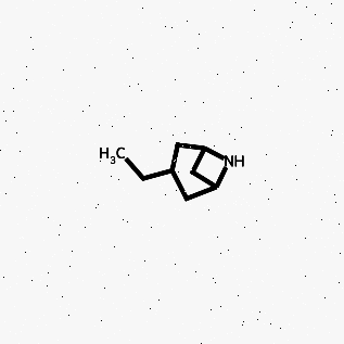 CCC1CC2CC(C1)N2